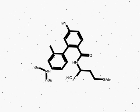 CCCCNCCCC.CCCc1ccc(C(=O)NC(CCSC)C(=O)O)c(-c2ccccc2C)c1